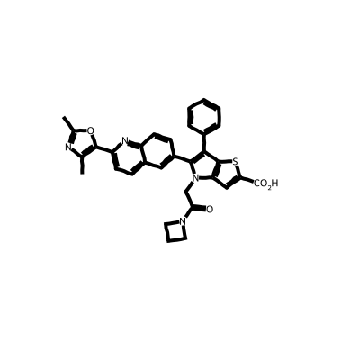 Cc1nc(C)c(-c2ccc3cc(-c4c(-c5ccccc5)c5sc(C(=O)O)cc5n4CC(=O)N4CCC4)ccc3n2)o1